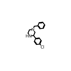 Clc1ccc(C2CN(Cc3ccccc3)CCN2)cc1